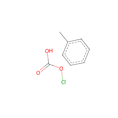 Cc1ccccc1.O=C(O)OCl